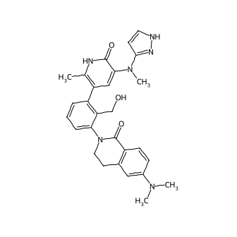 Cc1[nH]c(=O)c(N(C)c2cc[nH]n2)cc1-c1cccc(N2CCc3cc(N(C)C)ccc3C2=O)c1CO